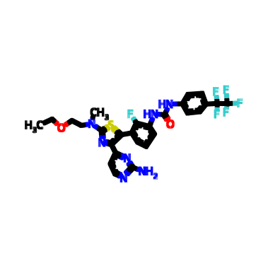 CCOCCN(C)c1nc(-c2ccnc(N)n2)c(-c2cccc(NC(=O)Nc3ccc(C(F)(F)C(F)(F)F)cc3)c2F)s1